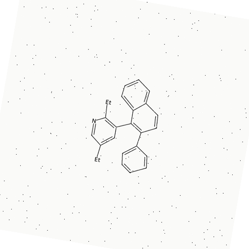 CCc1[c]c(-c2c(-c3ccccc3)ccc3ccccc23)c(CC)nc1